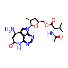 CC(=O)N[C@H](C(=O)OC[C@@H]1C[C@H](C)[C@H](n2cc3c4c(ncnc42)NC(=O)C=C3N)O1)C(C)C